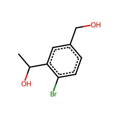 CC(O)c1cc(CO)ccc1Br